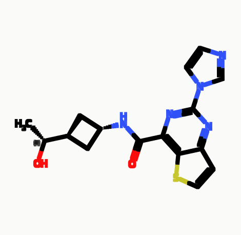 C[C@@H](O)[C@H]1C[C@H](NC(=O)c2nc(-n3ccnc3)nc3ccsc23)C1